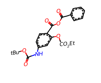 CCOC(=O)Oc1cc(NC(=O)OC(C)(C)C)ccc1C(=O)OC(=O)c1ccccc1